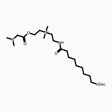 CCCCCCCCCCCCCCCCCCC(=O)NCC[N+](C)(C)CCOC(=O)CN(C)C